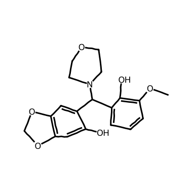 COc1cccc(C(c2cc3c(cc2O)OCO3)N2CCOCC2)c1O